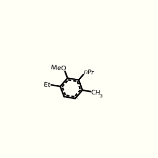 CCCc1c(C)[c]cc(CC)c1OC